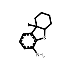 Nc1cccc2c1SC1CCCCC21I